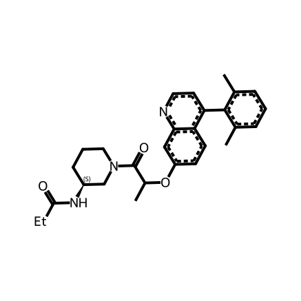 CCC(=O)N[C@H]1CCCN(C(=O)C(C)Oc2ccc3c(-c4c(C)cccc4C)ccnc3c2)C1